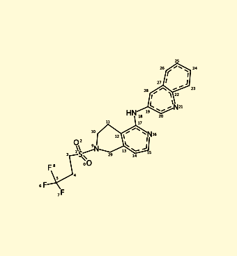 O=S(=O)(CCC(F)(F)F)N1CCc2c(ccnc2Nc2cnc3ccccc3c2)C1